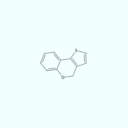 [c]1cc2c(s1)-c1ccccc1OC2